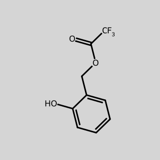 O=C(OCc1ccccc1O)C(F)(F)F